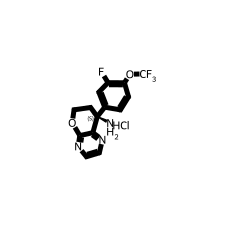 Cl.N[C@]1(c2ccc(OC(F)(F)F)c(F)c2)CCOc2nccnc21